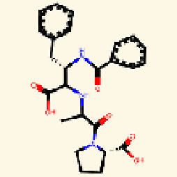 CC(NC(C(=O)O)[C@H](Cc1ccccc1)NC(=O)c1ccccc1)C(=O)N1CCC[C@H]1C(=O)O